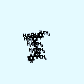 Cc1ccc(-c2cc(C(C)(C)C)nc(C(C)(C)CCC(C)(C)c3cc(-c4ccncc4)cc(C)n3)c2)cc1